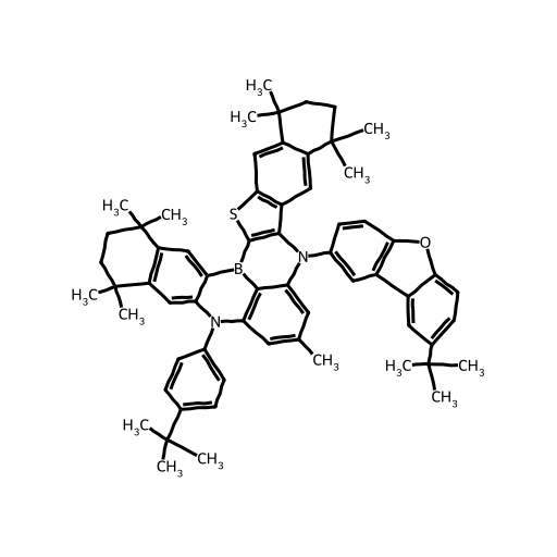 Cc1cc2c3c(c1)N(c1ccc4oc5ccc(C(C)(C)C)cc5c4c1)c1c(sc4cc5c(cc14)C(C)(C)CCC5(C)C)B3c1cc3c(cc1N2c1ccc(C(C)(C)C)cc1)C(C)(C)CCC3(C)C